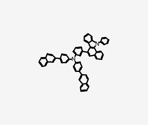 c1ccc(-n2c3ccccc3c3c(-c4cccc(N(c5ccc(-c6ccc7ccccc7c6)cc5)c5ccc(-c6ccc7ccccc7c6)cc5)c4)cc4ccccc4c32)cc1